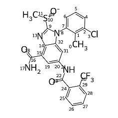 Cc1c(Cl)cccc1-n1c([S+](C)[O-])nc2c(C(N)=O)cc(NC(=O)c3ccccc3C(F)(F)F)cc21